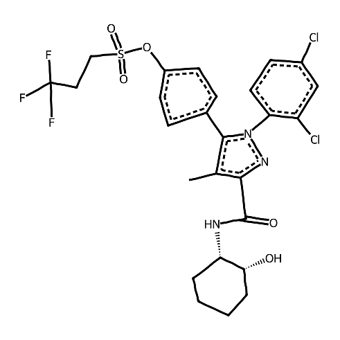 Cc1c(C(=O)N[C@H]2CCCC[C@H]2O)nn(-c2ccc(Cl)cc2Cl)c1-c1ccc(OS(=O)(=O)CCC(F)(F)F)cc1